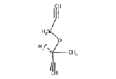 C#C[SiH2]O[Si](C)(C)C#C